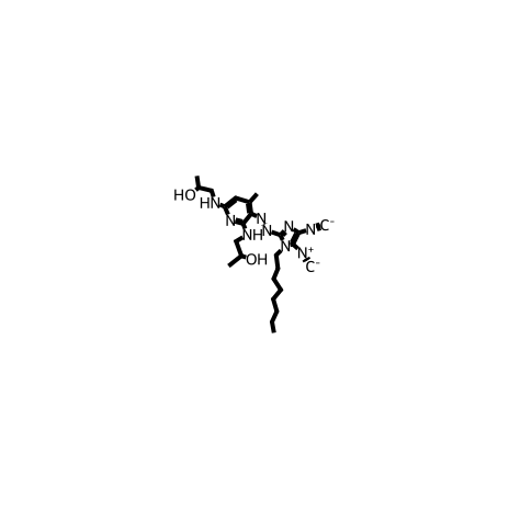 [C-]#[N+]c1nc(N=Nc2c(C)cc(NCC(C)O)nc2NCC(C)O)n(CCCCCCCC)c1[N+]#[C-]